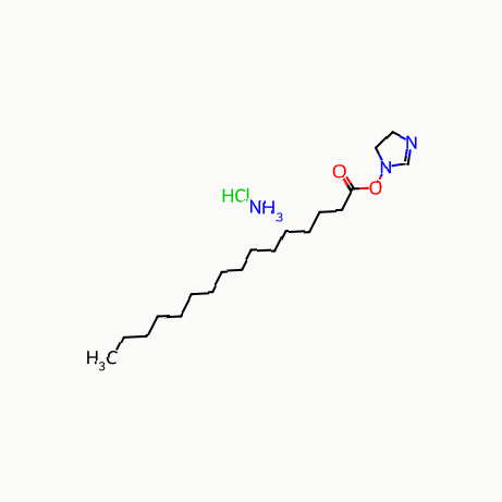 CCCCCCCCCCCCCCCC(=O)ON1C=NCC1.Cl.N